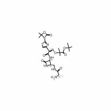 C[C@H](N)C(=O)NC[C@H]1NC(=O)[C@H]1NC(=O)/C(=N\OC(C)(C)C(=O)OC(C)(C)C)c1csc(N2C(=O)OC2(C)C)n1